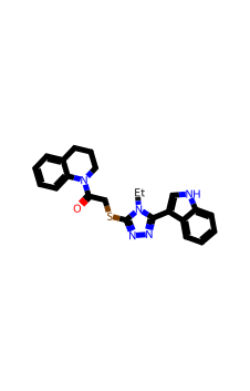 CCn1c(SCC(=O)N2CCCc3ccccc32)nnc1-c1c[nH]c2ccccc12